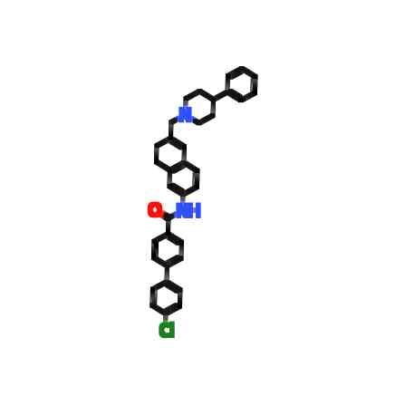 O=C(Nc1ccc2c(c1)CCC(CN1CCC(c3ccccc3)CC1)=C2)c1ccc(-c2ccc(Cl)cc2)cc1